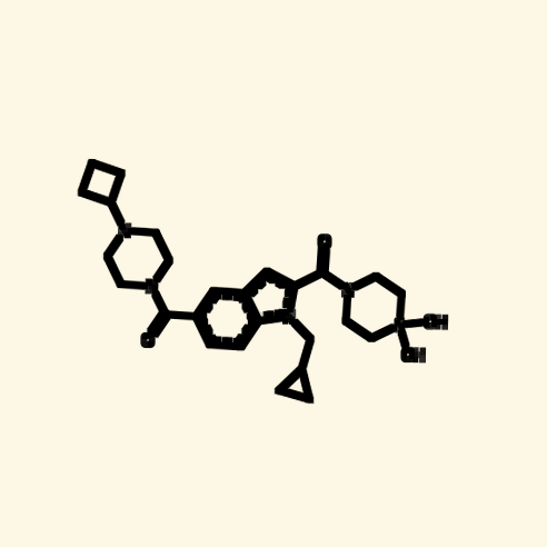 O=C(c1ccc2c(c1)cc(C(=O)N1CCS(O)(O)CC1)n2CC1CC1)N1CCN(C2CCC2)CC1